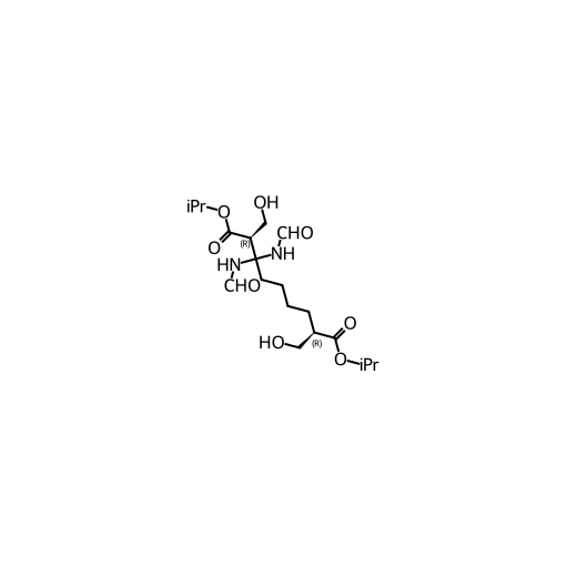 CC(C)OC(=O)[C@@H](CO)CCCCC(NC=O)(NC=O)[C@H](CO)C(=O)OC(C)C